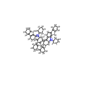 c1ccc(-n2c3ccc(C4(c5ccc6c(c5)c5ccc7c(c5n6-c5ccccc5)Cc5ccccc5-7)c5ccccc5-c5ccccc54)cc3c3ccc4c(c32)Cc2ccccc2-4)cc1